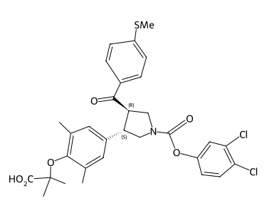 CSc1ccc(C(=O)[C@H]2CN(C(=O)Oc3ccc(Cl)c(Cl)c3)C[C@@H]2c2cc(C)c(OC(C)(C)C(=O)O)c(C)c2)cc1